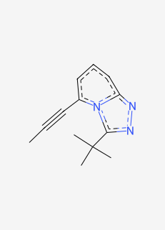 CC#Cc1cccc2nnc(C(C)(C)C)n12